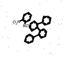 O=[N+]([O-])c1ccccc1[N+](=O)[O-].c1ccc(-c2ccccc2-c2ccccc2-c2ccccc2)cc1